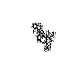 CN[C@@H](C)C(N[C@H]1CN(C(=O)CS(C)(=O)=O)CC[C@H]2CC[C@@H](C(=O)N[C@@H]3CCOc4ccccc43)N2C1=O)OC